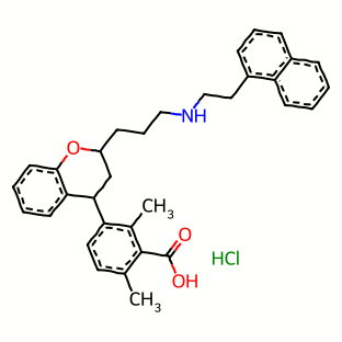 Cc1ccc(C2CC(CCCNCCc3cccc4ccccc34)Oc3ccccc32)c(C)c1C(=O)O.Cl